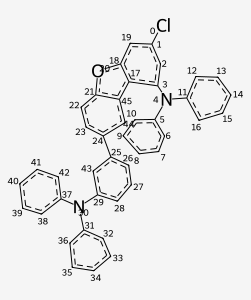 Clc1cc(N(c2ccccc2)c2ccccc2)c2c(c1)oc1ccc(-c3cccc(N(c4ccccc4)c4ccccc4)c3)cc12